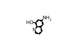 Nc1cc(O)c2ncccc2c1